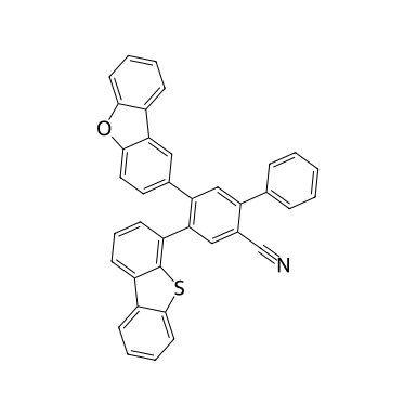 N#Cc1cc(-c2cccc3c2sc2ccccc23)c(-c2ccc3oc4ccccc4c3c2)cc1-c1ccccc1